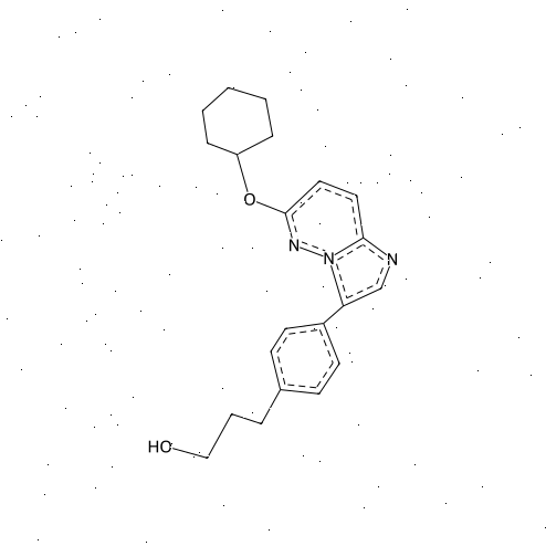 OCCCc1ccc(-c2cnc3ccc(OC4CCCCC4)nn23)cc1